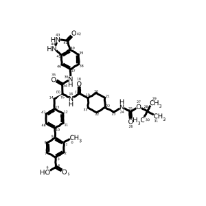 Cc1cc(C(=O)O)ccc1-c1ccc(C[C@H](NC(=O)C2CCC(CNC(=O)OC(C)(C)C)CC2)C(=O)Nc2ccc3c(=O)[nH][nH]c3c2)cc1